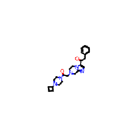 O=C(Cc1ccccc1)c1cnc2n1CCN(CC(=O)N1CCN(C3CCC3)CC1)C2